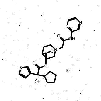 O=C(C[N+]12CCC(CC1)C(OC(=O)[C@](O)(c1ccsc1)C1CCCC1)C2)Nc1cnccn1.[Br-]